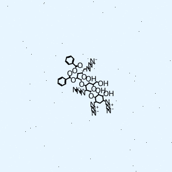 [N-]=[N+]=NC[C@H]1O[C@@H](OC2C(N=[N+]=[N-])[C@@H](O[C@@H]3C(N=[N+]=[N-])CC(N=[N+]=[N-])C(O)C3O)OC(CO)[C@H]2O)C(OC(=O)c2ccccc2)C1OC(=O)c1ccccc1